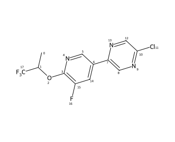 CC(Oc1ncc(-c2cnc(Cl)cn2)cc1F)C(F)(F)F